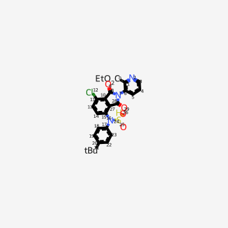 CCOC(=O)c1ncccc1N1C(=O)c2c(Cl)ccc(N(c3ccc(C(C)(C)C)cc3)[SH](=O)=O)c2C1=O